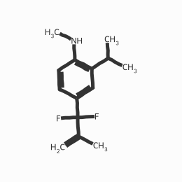 C=C(C)C(F)(F)c1ccc(NC)c(C(C)C)c1